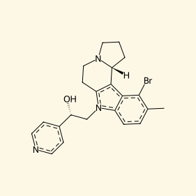 Cc1ccc2c(c1Br)c1c(n2C[C@@H](O)c2ccncc2)CCN2CCC[C@H]12